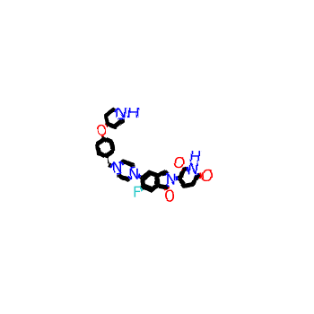 O=C1CCC(N2Cc3cc(N4CCN(C[C@H]5CC[C@H](OC6CCNCC6)CC5)CC4)c(F)cc3C2=O)C(=O)N1